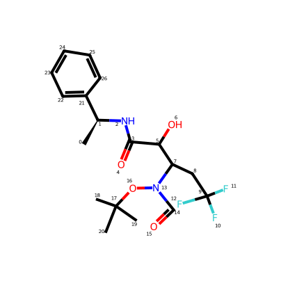 C[C@H](NC(=O)C(O)C(CC(F)(F)F)N(C=O)OC(C)(C)C)c1ccccc1